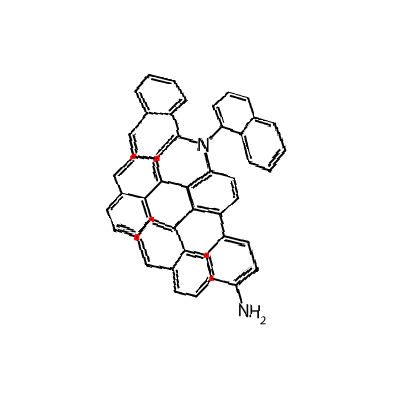 Nc1ccc(-c2ccc(N(c3cccc4ccccc34)c3cccc4ccccc34)c(-c3cccc4ccccc34)c2-c2cccc3ccccc23)cc1